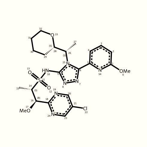 COc1cccc(-c2nnc(NS(=O)(=O)[C@@H](C)[C@H](OC)c3ncc(Cl)cn3)n2[C@@H](C)[C@@H]2CCCCO2)n1